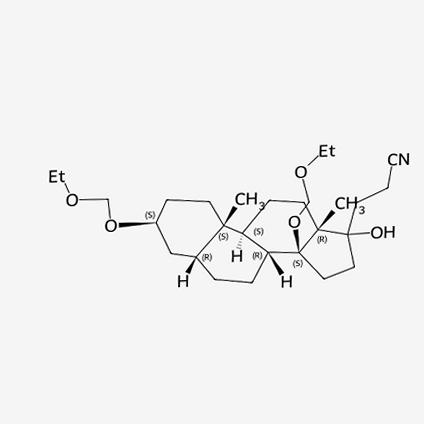 CCOCO[C@H]1CC[C@@]2(C)[C@H](CC[C@@H]3[C@@H]2CC[C@]2(C)C(O)(CCC#N)CC[C@]32OCOCC)C1